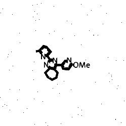 COc1ccc(-c2nc(-c3cccc(C)n3)nc3c2CCCCC3)cn1